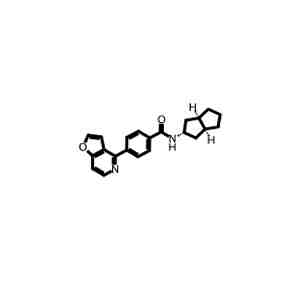 O=C(N[C@@H]1C[C@H]2CCC[C@H]2C1)c1ccc(-c2nccc3occc23)cc1